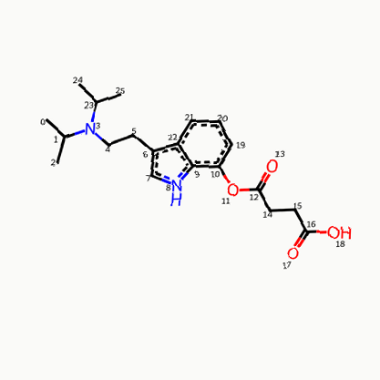 CC(C)N(CCc1c[nH]c2c(OC(=O)CCC(=O)O)cccc12)C(C)C